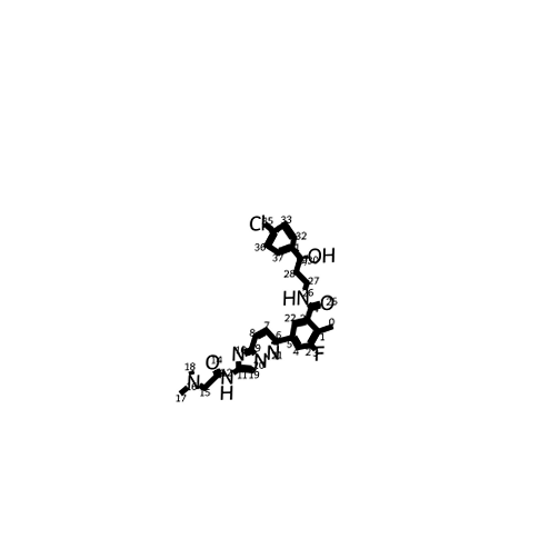 Cc1c(F)cc(-c2ccc3nc(NC(=O)CN(C)C)cn3n2)cc1C(=O)NCC[C@H](O)c1ccc(Cl)cc1